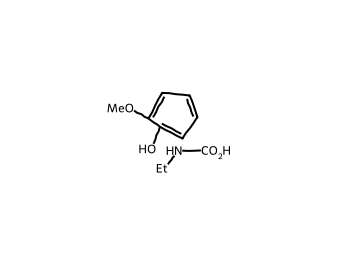 CCNC(=O)O.COc1ccccc1O